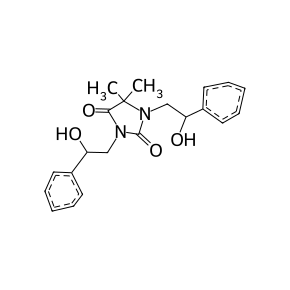 CC1(C)C(=O)N(CC(O)c2ccccc2)C(=O)N1CC(O)c1ccccc1